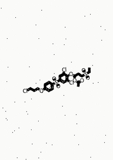 CCS(=O)(=O)CCC(OC(C)=O)Oc1c(Cl)cc(S(=O)(=O)c2ccc(OCCCCl)cc2)cc1Cl